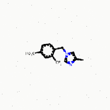 Cc1cn(Cc2ccc(C(=O)O)cc2C(F)(F)F)cn1